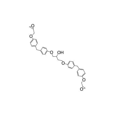 OC(CCOc1ccc(Cc2ccc(OCC3CO3)cc2)cc1)COc1ccc(Cc2ccc(OCC3CO3)cc2)cc1